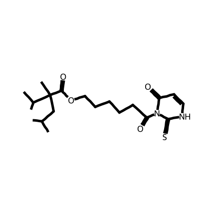 CC(C)CC(C)(C(=O)OCCCCCC(=O)n1c(=O)cc[nH]c1=S)C(C)C